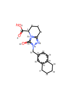 O=C(O)C1CCCc2nn(Cc3ccc4c(c3)CCCC4)c(=O)n21